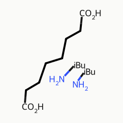 CCC(C)N.CCC(C)N.O=C(O)CCCCCCC(=O)O